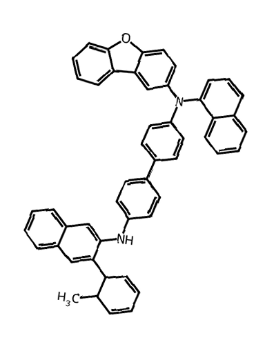 CC1C=CC=CC1c1cc2ccccc2cc1Nc1ccc(-c2ccc(N(c3ccc4oc5ccccc5c4c3)c3cccc4ccccc34)cc2)cc1